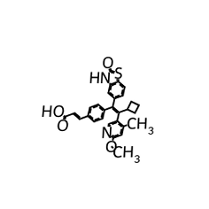 COc1cc(C)c(/C(=C(\c2ccc(/C=C/C(=O)O)cc2)c2ccc3sc(=O)[nH]c3c2)C2CCC2)cn1